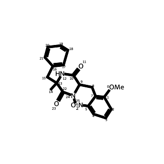 COc1cccc([N+](=O)[O-])c1CC1C(=O)NC(C)(Cc2ccccc2)C(=O)N1C